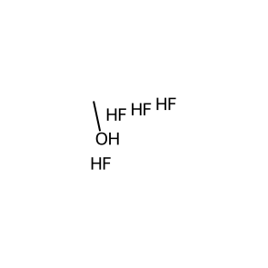 CO.F.F.F.F